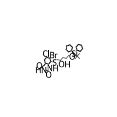 CC(C)(C)[Si](OCCC[C@H](O)CSc1c(Br)c(Cl)cc2c(=O)[nH]c(=O)[nH]c12)(c1ccccc1)c1ccccc1